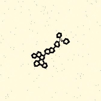 c1ccc(N(c2ccccc2)c2ccc(-c3ccc4cc(-c5cc6c7ccccc7c7ccccc7c6c6c5ccc5ccccc56)ccc4c3)cc2)cc1